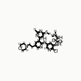 CSc1cc(-c2cc(CCN3CCOCC3)cnc2Nc2cnc(Cl)c(NS(=O)(=O)NN(C)C)c2)nc(C)n1